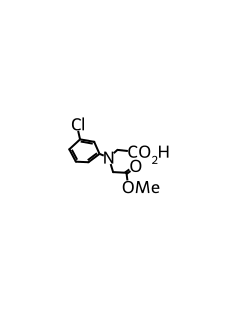 COC(=O)CN(CC(=O)O)c1cccc(Cl)c1